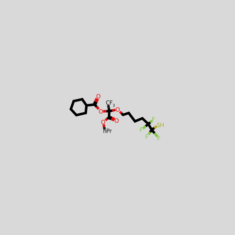 CCCOC(=O)C(OCCCCC(F)(F)C(F)(F)S)(OC(=O)C1CCCCC1)C(F)(F)F